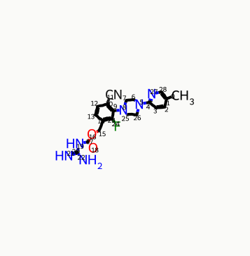 Cc1ccc(N2CCN(c3c(C#N)ccc(COC(=O)NC(=N)N)c3F)CC2)nc1